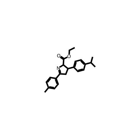 CCOC(=O)C1N=C(c2ccc(C)cc2)CC1c1ccc(C(C)C)cc1